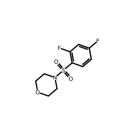 O=S(=O)(c1ccc(F)cc1F)N1CCOCC1